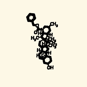 C[C@H]1C[C@H]2O[C@]3(CC[C@H]4[C@@H]5CC=C6C[C@@H](O)CC[C@]6(C)[C@H]5C[C@]4(C)C3(C)C)[C@H](C)[C@@H]2N(C(=O)OCc2ccccc2)C1